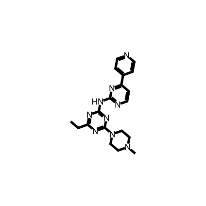 CCc1nc(Nc2nccc(-c3ccncc3)n2)nc(N2CCN(C)CC2)n1